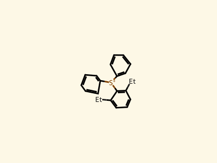 CCc1cccc(CC)c1[S+](c1ccccc1)c1ccccc1